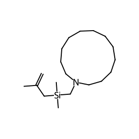 C=C(C)C[Si](C)(C)CN1CCCCCCCCCCCC1